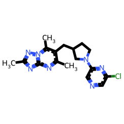 Cc1nc2nc(C)c(CC3CCN(c4cncc(Cl)n4)C3)c(C)n2n1